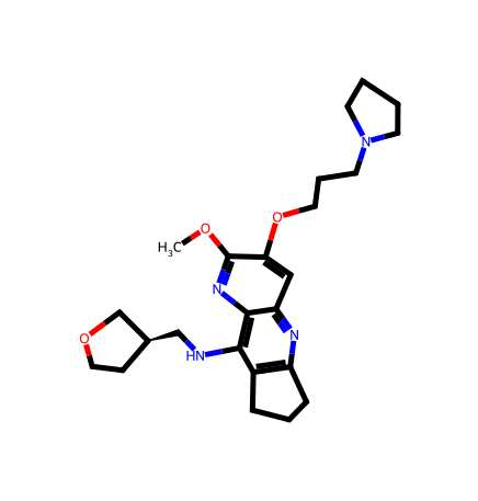 COc1nc2c(NC[C@H]3CCOC3)c3c(nc2cc1OCCCN1CCCC1)CCC3